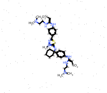 CN(C)CCNC(=C[N+](=O)[O-])Nc1ccc(-c2nn(C)c(=NC3(c4ccc(NC(=C[N+](=O)[O-])NCCN(C)C)cc4)CCCCC3)s2)cc1